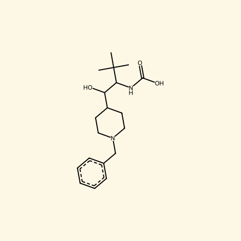 CC(C)(C)C(NC(=O)O)C(O)C1CCN(Cc2ccccc2)CC1